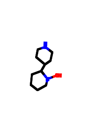 ON1CCCCC1C1CCNCC1